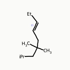 [CH2]C(C)CC(C)(C)C/C=C/CC